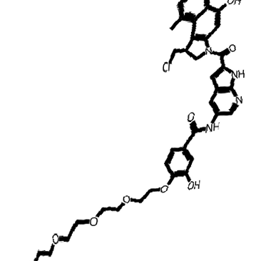 COCCOCCOCCOCCOc1ccc(C(=O)Nc2cnc3[nH]c(C(=O)N4CC(CCl)c5c4cc(O)c4cccc(C)c54)cc3c2)cc1O